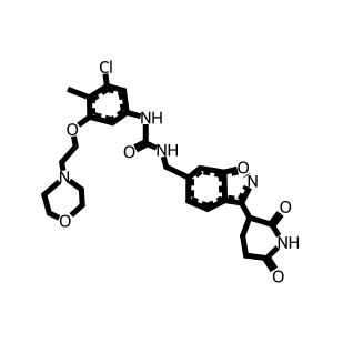 Cc1c(Cl)cc(NC(=O)NCc2ccc3c(C4CCC(=O)NC4=O)noc3c2)cc1OCCN1CCOCC1